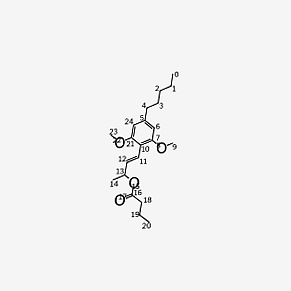 CCCCCc1cc(OC)c(/C=C/C(C)OC(=O)CCC)c(OC)c1